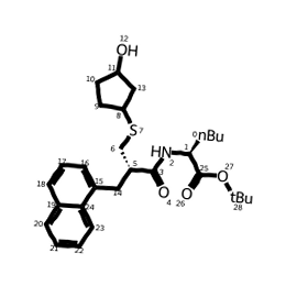 CCCC[C@H](NC(=O)[C@@H](CSC1CCC(O)C1)Cc1cccc2ccccc12)C(=O)OC(C)(C)C